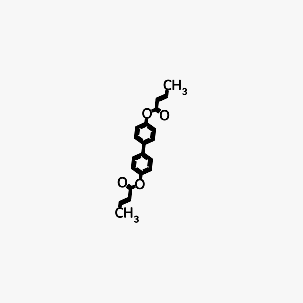 CC=CC(=O)Oc1ccc(-c2ccc(OC(=O)C=CC)cc2)cc1